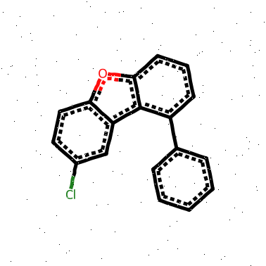 Clc1ccc2oc3cccc(-c4ccccc4)c3c2c1